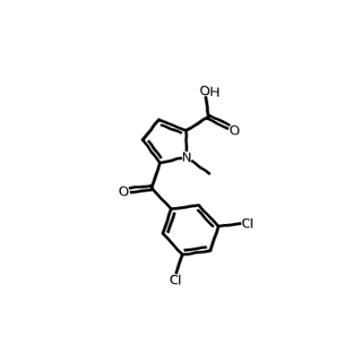 Cn1c(C(=O)O)ccc1C(=O)c1cc(Cl)cc(Cl)c1